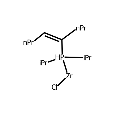 CCCC=C(CCC)[PH]([Zr][Cl])(C(C)C)C(C)C